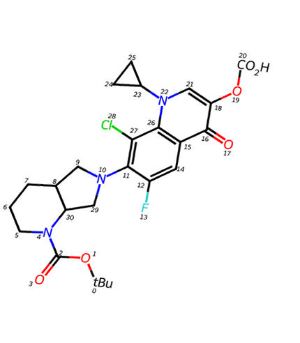 CC(C)(C)OC(=O)N1CCCC2CN(c3c(F)cc4c(=O)c(OC(=O)O)cn(C5CC5)c4c3Cl)CC21